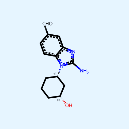 Nc1nc2cc(C=O)ccc2n1[C@H]1CCC[C@@H](O)C1